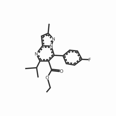 CCOC(=O)c1c(C(C)C)nc2cc(C)nn2c1-c1ccc(F)cc1